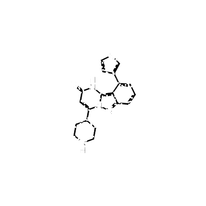 O=c1cc(C2CCNCC2)n2nc3cccc(-c4ccsc4)c3c2[nH]1